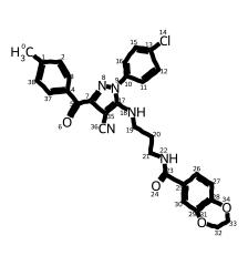 Cc1ccc(C(=O)c2nn(-c3ccc(Cl)cc3)c(NCCCNC(=O)c3ccc4c(c3)OCCO4)c2C#N)cc1